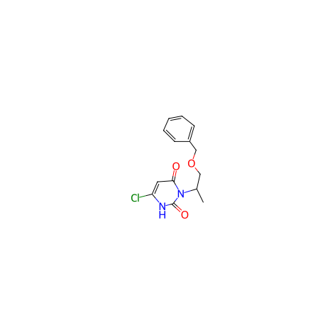 CC(COCc1ccccc1)n1c(=O)cc(Cl)[nH]c1=O